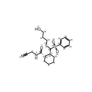 N#CCNC(=O)[C@H]1CCCC[C@@H]1C(SCCCO)S(=O)(=O)c1ccccc1